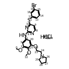 COc1cc(Nc2nccc(Sc3cccc(Br)c3)n2)cc(OCCN2CCCC2)c1OC.Cl.Cl